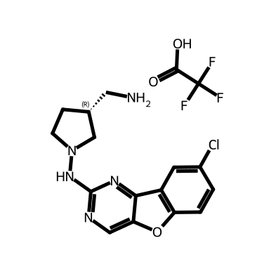 NC[C@H]1CCN(Nc2ncc3oc4ccc(Cl)cc4c3n2)C1.O=C(O)C(F)(F)F